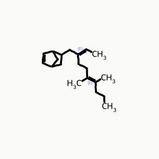 C/C=C(\CC/C(C)=C(\C)CCC)CC1CC2C=CC1C2